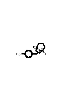 Cc1ccc(CN2[C@@H]3CCC[C@H]2CC3)cc1